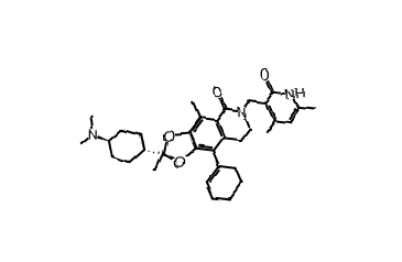 Cc1cc(C)c(CN2CCc3c(c(C)c4c(c3C3=CCCCC3)OC(C)([C@H]3CC[C@H](N(C)C)CC3)O4)C2=O)c(=O)[nH]1